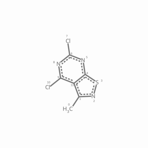 Cc1nsc2nc(Cl)nc(Cl)c12